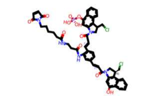 O=C(CCCCCN1C(=O)C=CC1=O)NCCC(=O)Nc1cc(/C=C/C(=O)N2C[C@@H](CCl)c3c2cc(O)c2ccccc32)ccc1/C=C/C(=O)N1CC(CCl)c2c1cc(OP(=O)(O)O)c1ccccc21